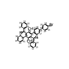 Cc1c2c(c(C)c3c1c(-c1ccccc1)nc1cc(-c4ccc(Br)cc4)ccc13)C(c1ccccc1)=NC1C=CC=CC21